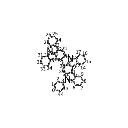 c1ccc(-n2c3ccccc3c3c4c5ccccc5n5c6cc7c8ccccc8n8c9ccccc9c(c6c(cc32)c45)c78)cc1